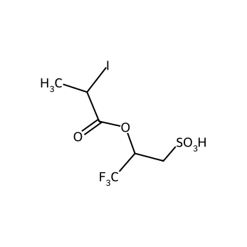 CC(I)C(=O)OC(CS(=O)(=O)O)C(F)(F)F